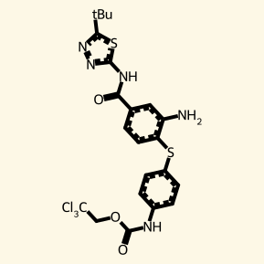 CC(C)(C)c1nnc(NC(=O)c2ccc(Sc3ccc(NC(=O)OCC(Cl)(Cl)Cl)cc3)c(N)c2)s1